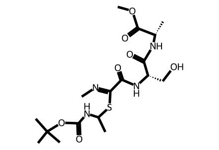 C/N=C(\SC(C)NC(=O)OC(C)(C)C)C(=O)N[C@@H](CO)C(=O)N[C@@H](C)C(=O)OC